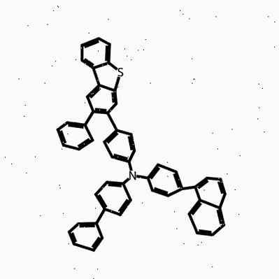 c1ccc(-c2ccc(N(c3ccc(-c4cc5sc6ccccc6c5cc4-c4ccccc4)cc3)c3ccc(-c4cccc5ccccc45)cc3)cc2)cc1